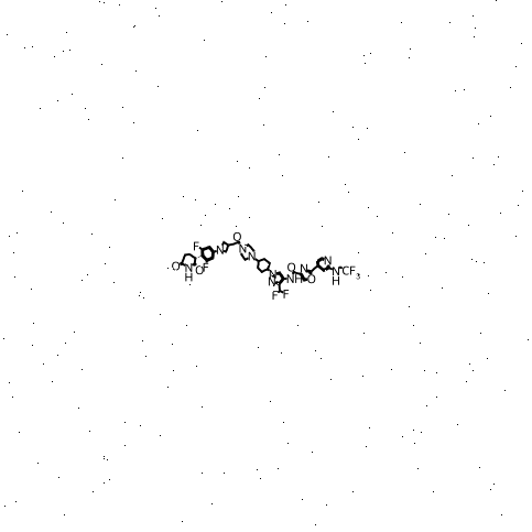 O=C1CC[C@H](c2c(F)cc(N3CC(C(=O)N4CCN(C5CCC(n6cc(NC(=O)c7coc(-c8ccnc(NCC(F)(F)F)c8)n7)c(C(F)F)n6)CC5)CC4)C3)cc2F)C(=O)N1